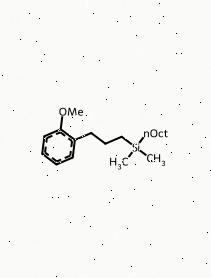 CCCCCCCC[Si](C)(C)CCCc1ccccc1OC